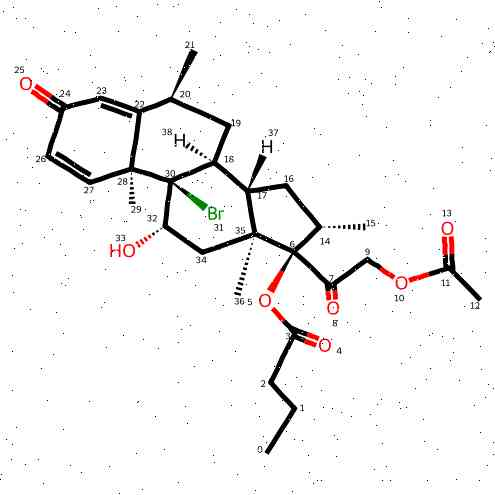 CCCC(=O)O[C@]1(C(=O)COC(C)=O)[C@@H](C)C[C@H]2[C@@H]3C[C@H](C)C4=CC(=O)C=C[C@]4(C)[C@@]3(Br)[C@@H](O)C[C@@]21C